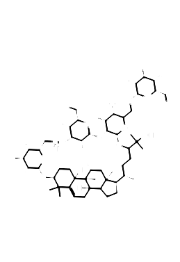 C[C@H](CCC(O[C@@H]1OC(CO[C@@H]2O[C@H](CO)[C@@H](O)[C@H](O)[C@H]2O)[C@@H](O)[C@H](O)[C@H]1O[C@@H]1O[C@H](CO)[C@@H](O)[C@H](O)[C@H]1O)C(C)(C)O)[C@H]1CC[C@@]2(C)[C@@H]3CC=C4[C@H](CC[C@H](O[C@@H]5O[C@H](CO)[C@@H](O)[C@H](O)[C@H]5O)C4(C)C)[C@]3(C)[C@H](O)C[C@]12C